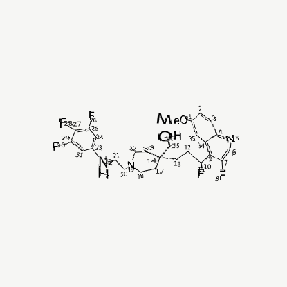 COc1ccc2ncc(F)c([C@@H](F)CCC3(CO)CCN(CCNc4cc(F)c(F)c(F)c4)CC3)c2c1